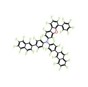 Fc1c(F)c(F)c(-c2c(F)c(F)c(F)c3c2oc2c(F)c(N(c4c(F)c(F)c(-c5c(F)c(F)c6c(F)c(F)c(F)c(F)c6c5F)c(F)c4F)c4c(F)c(F)c(-c5c(F)c(F)c6c(F)c(F)c(F)c(F)c6c5F)c(F)c4F)c(F)c(F)c23)c(F)c1F